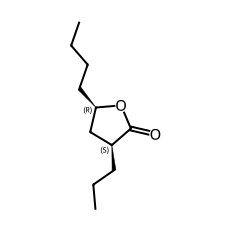 CCCC[C@@H]1C[C@H](CCC)C(=O)O1